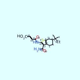 CCC(C)(C)C1CCc2c(sc(NC(=O)C=CC(=O)O)c2C(N)=O)C1